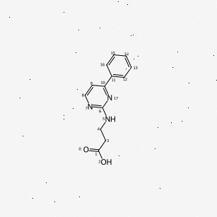 O=C(O)CCNc1nccc(-c2ccccc2)n1